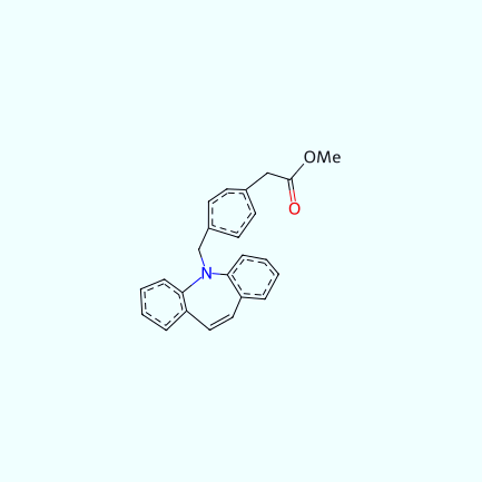 COC(=O)Cc1ccc(CN2c3ccccc3C=Cc3ccccc32)cc1